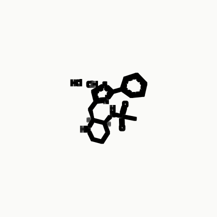 CS(=O)(=O)N[C@H]1CCCN[C@H]1Cc1csc(-c2ccccc2)n1.Cl.Cl